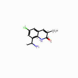 CC(N)c1cc(Cl)cc2cc(C(=O)O)c(=O)[nH]c12